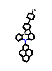 N#Cc1ccc(-c2ccc3c(c2)-c2cccc4c2B3c2ccccc2N4c2cc3c4c(c2)CC=C2C=CC=C(C=C3)C24)cc1